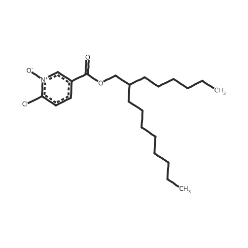 CCCCCCCCC(CCCCCC)COC(=O)c1ccc(Cl)[n+]([O-])c1